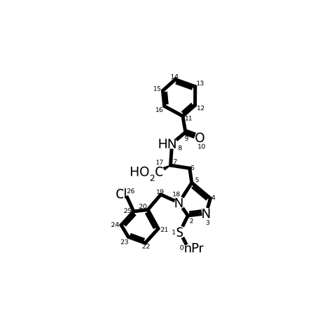 CCCSc1ncc(C[C@H](NC(=O)c2ccccc2)C(=O)O)n1Cc1ccccc1Cl